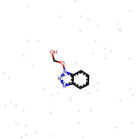 OCOn1nnc2ccccc21